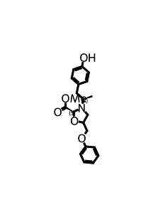 COC(=O)[C@@H]1OC(COc2ccccc2)CN1[C@H](C)Cc1ccc(O)cc1